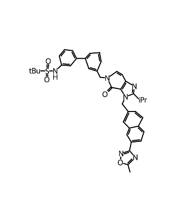 Cc1nc(-c2ccc3ccc(Cn4c(C(C)C)nc5ccn(Cc6cccc(-c7cccc(NS(=O)(=O)C(C)(C)C)c7)c6)c(=O)c54)cc3c2)no1